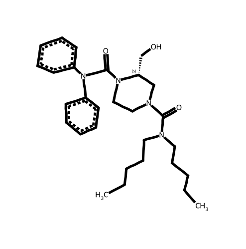 CCCCCN(CCCCC)C(=O)N1CCN(C(=O)N(c2ccccc2)c2ccccc2)[C@H](CO)C1